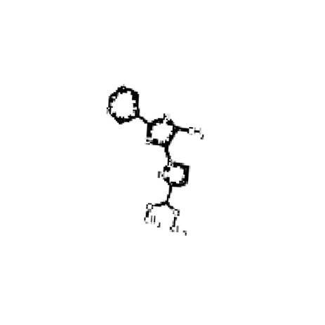 COC(OC)c1ccn(-c2sc(-c3cccnc3)nc2C)n1